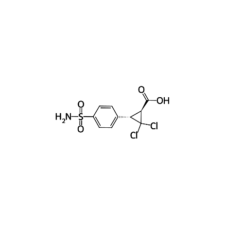 NS(=O)(=O)c1ccc([C@@H]2[C@@H](C(=O)O)C2(Cl)Cl)cc1